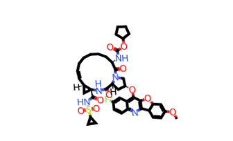 COC1=CC2Oc3c(nc4ccc(F)cc4c3O[C@@H]3C[C@H]4C(=O)N[C@]5(C(=O)NS(=O)(=O)C6CC6)C[C@H]5/C=C\CCCCC[C@H](NC(=O)OC5CCCC5)C(=O)N4C3)C2C=C1